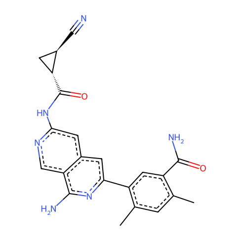 Cc1cc(C)c(-c2cc3cc(NC(=O)[C@@H]4C[C@H]4C#N)ncc3c(N)n2)cc1C(N)=O